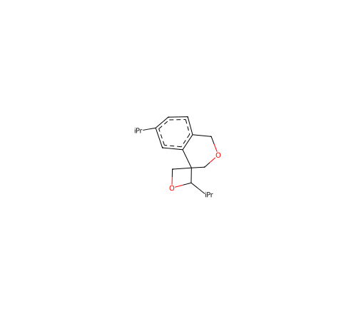 CC(C)c1ccc2c(c1)C1(COC2)COC1C(C)C